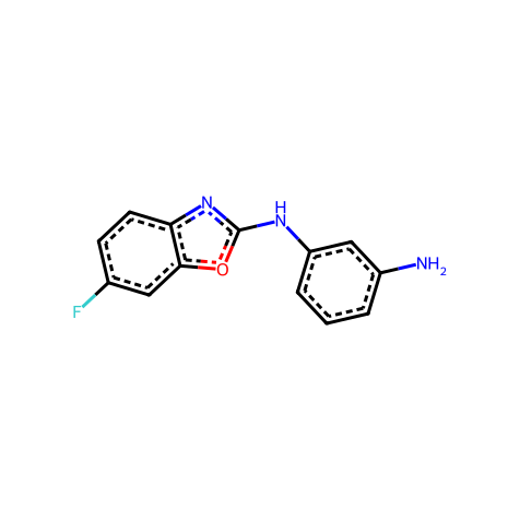 Nc1cccc(Nc2nc3ccc(F)cc3o2)c1